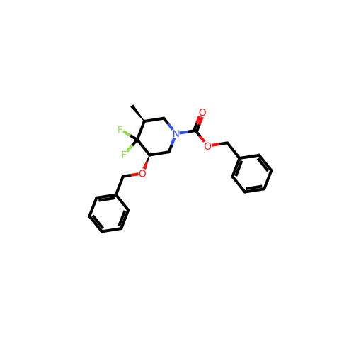 C[C@H]1CN(C(=O)OCc2ccccc2)C[C@@H](OCc2ccccc2)C1(F)F